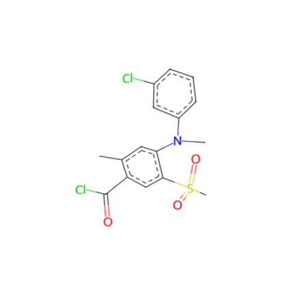 Cc1cc(N(C)c2cccc(Cl)c2)c(S(C)(=O)=O)cc1C(=O)Cl